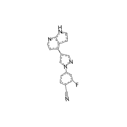 N#Cc1ccc(-n2cc(-c3ccnc4[nH]ccc34)cn2)cc1F